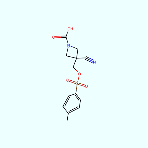 Cc1ccc(S(=O)(=O)OCC2(C#N)CN(C(=O)O)C2)cc1